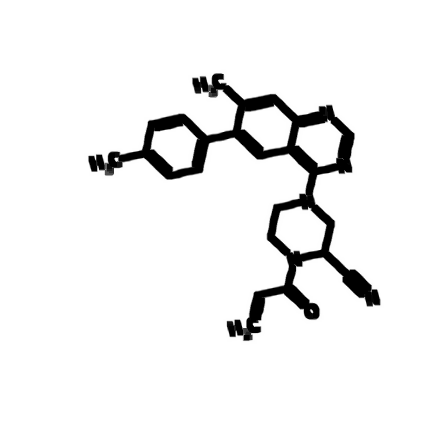 C=CC(=O)N1CCN(c2ncnc3cc(C)c(-c4ccc(C)cc4)cc23)CC1C#N